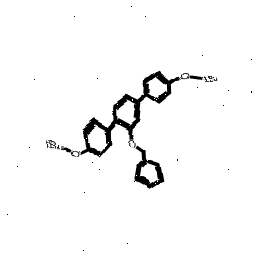 CC(C)(C)Oc1ccc(-c2ccc(-c3ccc(OC(C)(C)C)cc3)c(OCc3ccccc3)c2)cc1